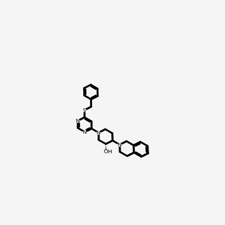 O[C@@H]1CN(c2cc(SCc3ccccc3)ncn2)CCC1N1CCc2ccccc2C1